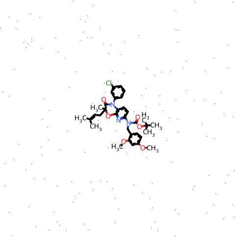 COc1ccc(CN(C(=O)OC(C)(C)C)c2ccc3c(n2)OC(C)(CC=C(C)C)C(=O)N3c2cccc(Cl)c2)c(OC)c1